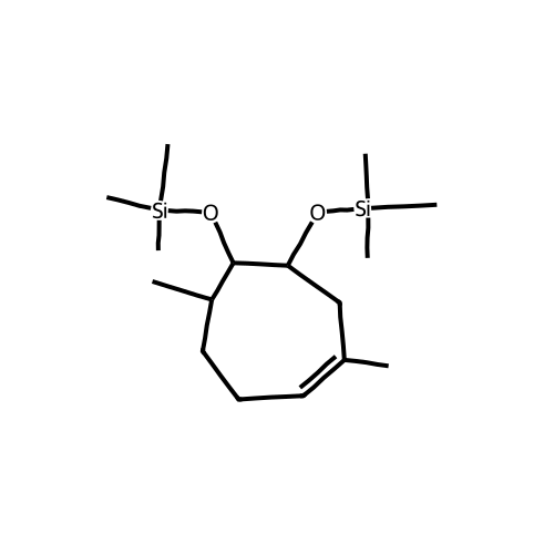 C/C1=C/CCC(C)C(O[Si](C)(C)C)C(O[Si](C)(C)C)C1